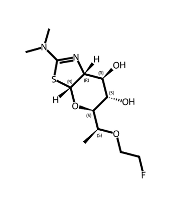 C[C@H](OCCF)[C@H]1O[C@@H]2SC(N(C)C)=N[C@@H]2[C@@H](O)[C@@H]1O